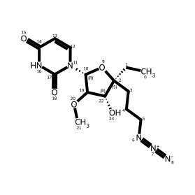 CC[C@@]1(CCCN=[N+]=[N-])O[C@@H](n2ccc(=O)[nH]c2=O)C(OC)[C@H]1O